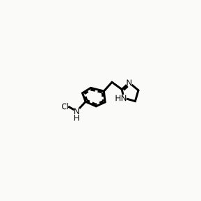 ClNc1ccc(CC2=NCCN2)cc1